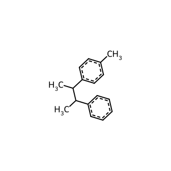 Cc1ccc(C(C)C(C)c2ccccc2)cc1